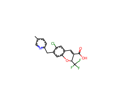 Cc1ccc(Cc2cc3c(cc2Cl)C=C(C(=O)O)C(C(F)(F)F)O3)nc1